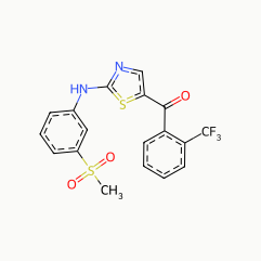 CS(=O)(=O)c1cccc(Nc2ncc(C(=O)c3ccccc3C(F)(F)F)s2)c1